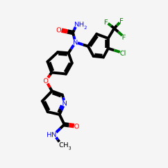 CNC(=O)c1ccc(Oc2ccc(N(C(N)=O)c3ccc(Cl)c(C(F)(F)F)c3)cc2)cn1